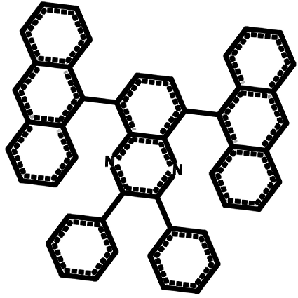 c1ccc(-c2nc3c(-c4c5ccccc5cc5ccccc45)ccc(-c4c5ccccc5cc5ccccc45)c3nc2-c2ccccc2)cc1